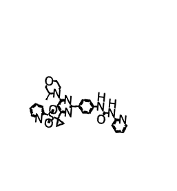 C[C@H]1COCCN1c1cc(C2(S(=O)(=O)c3ccccn3)CC2)nc(-c2ccc(NC(=O)Nc3ccccn3)cc2)n1